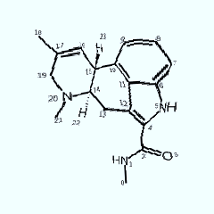 CNC(=O)c1[nH]c2cccc3c2c1C[C@@H]1[C@@H]3C=C(C)CN1C